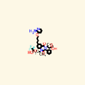 CC(C)N1C(=O)C(c2ccccc2)N(C(C)CC(=O)O)C(=O)c2cc(CCCCOc3cccnc3N)ccc21.O=C(O)C(F)(F)F